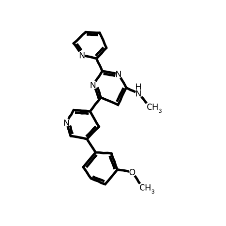 CNc1cc(-c2cncc(-c3cccc(OC)c3)c2)nc(-c2ccccn2)n1